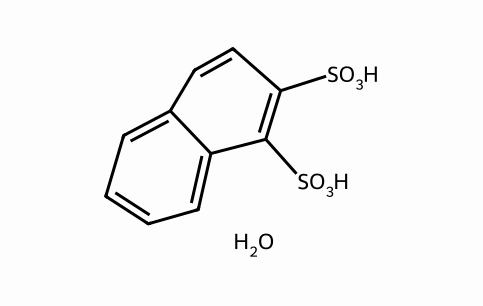 O.O=S(=O)(O)c1ccc2ccccc2c1S(=O)(=O)O